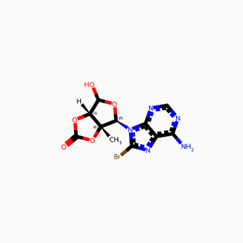 C[C@@]12OC(=O)O[C@@H]1C(O)O[C@H]2n1c(Br)nc2c(N)ncnc21